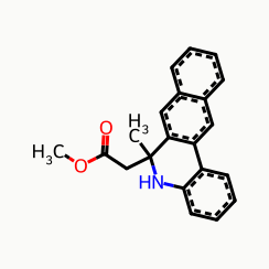 COC(=O)CC1(C)Nc2ccccc2-c2cc3ccccc3cc21